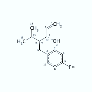 C=C[C@H](O)[C@@H](Cc1ccc(F)cc1)C(C)C